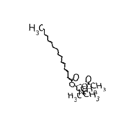 CCCCCCCCCCCCCCCC(=O)O[C@@H](COC(C)=O)C[N+](C)(C)C